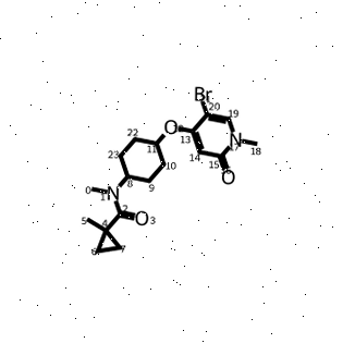 CN(C(=O)C1(C)CC1)C1CCC(Oc2cc(=O)n(C)cc2Br)CC1